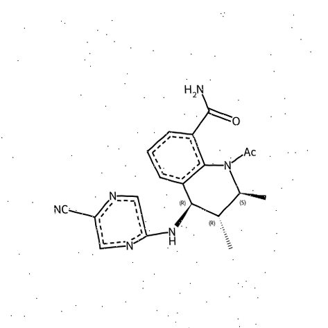 CC(=O)N1c2c(C(N)=O)cccc2[C@H](Nc2cnc(C#N)cn2)[C@@H](C)[C@@H]1C